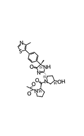 Cc1ncsc1-c1ccc([C@]2(C)NC([C@@H]3C[C@@H](O)CN3C(=O)[C@H]3CCCN3S(C)(=O)=O)=NC2=O)cc1